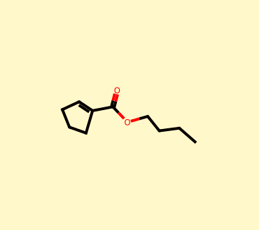 CCCCOC(=O)C1=CCCC1